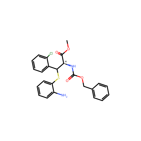 COC(=O)[C@@H](NC(=O)OCc1ccccc1)C(Sc1ccccc1N)c1ccccc1Cl